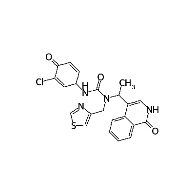 CC(c1c[nH]c(=O)c2ccccc12)N(Cc1cscn1)C(=O)NC1C=CC(=O)C(Cl)=C1